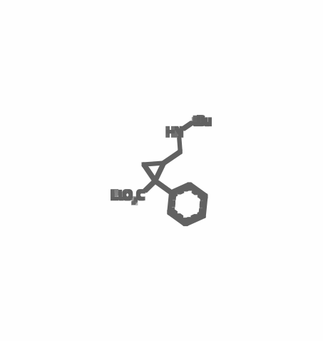 CCOC(=O)C1(c2ccccc2)CC1CNC(C)(C)C